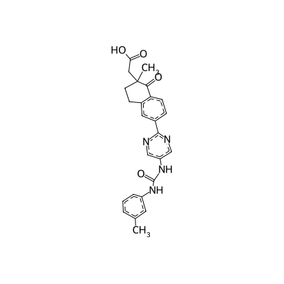 Cc1cccc(NC(=O)Nc2cnc(-c3ccc4c(c3)CCC(C)(CC(=O)O)C4=O)nc2)c1